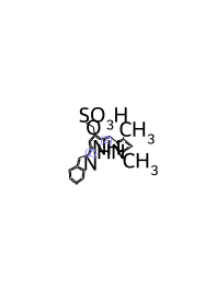 Cc1cc(C)c(/C=c2\[nH]/c(=C3/C=c4ccccc4=N3)cc2OCS(=O)(=O)O)[nH]1